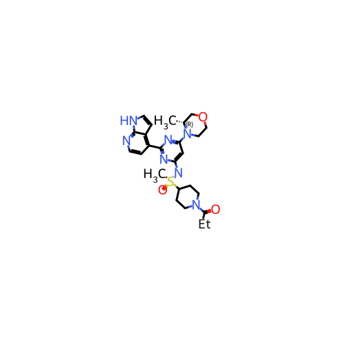 CCC(=O)N1CCC(S(C)(=O)=Nc2cc(N3CCOC[C@H]3C)nc(-c3ccnc4[nH]ccc34)n2)CC1